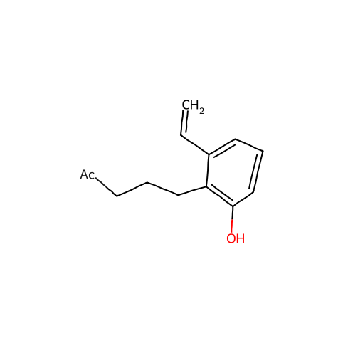 C=Cc1cccc(O)c1CCCC(C)=O